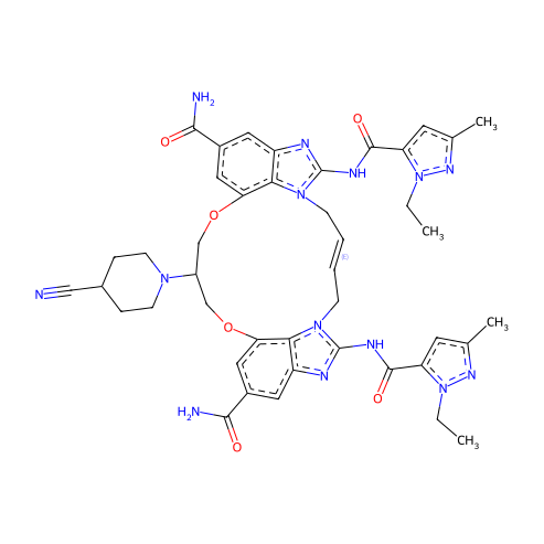 CCn1nc(C)cc1C(=O)Nc1nc2cc(C(N)=O)cc3c2n1C/C=C/Cn1c(NC(=O)c2cc(C)nn2CC)nc2cc(C(N)=O)cc(c21)OCC(N1CCC(C#N)CC1)CO3